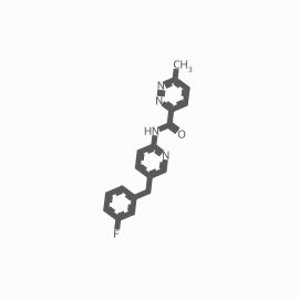 Cc1ccc(C(=O)Nc2ccc(Cc3cccc(F)c3)cn2)nn1